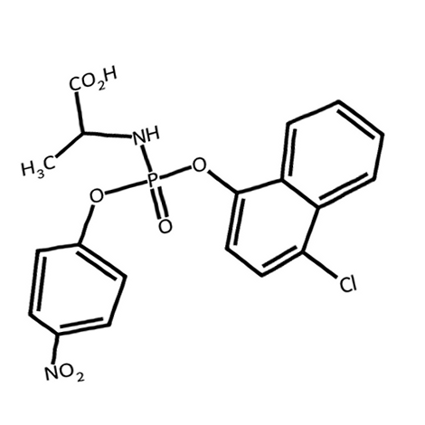 CC(NP(=O)(Oc1ccc([N+](=O)[O-])cc1)Oc1ccc(Cl)c2ccccc12)C(=O)O